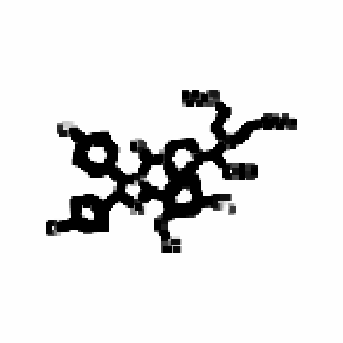 CCOc1cc(C(F)(F)F)ccc1C1=NC(c2ccc(Cl)cc2)C(c2ccc(Cl)cc2)N1C(=O)N1CCN(C(C=O)N(CCOC)CCOC)CC1